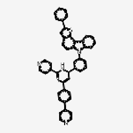 C1=C(c2ccc(-c3ccncc3)cc2)N=C(c2ccncc2)NC1c1cccc(-n2c3ccccc3c3c4sc(-c5ccccc5)cc4ccc32)c1